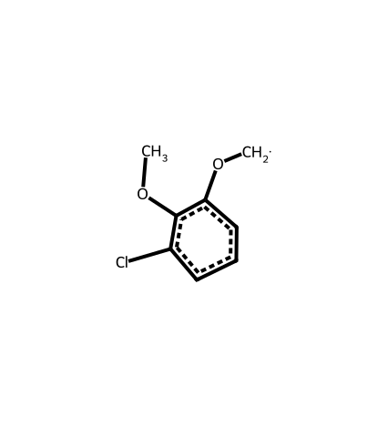 [CH2]Oc1cccc(Cl)c1OC